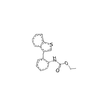 CCOC(=O)Nc1ccccc1-c1csc2ccccc12